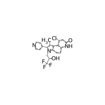 Cc1c(-c2ccncc2)n(C[C@@H](O)C(F)(F)F)c2ccc3[nH]c(=O)cc(Cl)c3c12